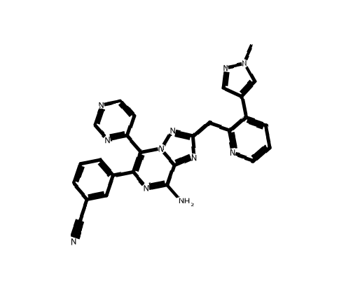 Cn1cc(-c2cccnc2Cc2nc3c(N)nc(-c4cccc(C#N)c4)c(-c4ccncn4)n3n2)cn1